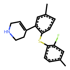 Cc1ccc(Sc2ccc(C)cc2C2=CCNCC2)c(F)c1